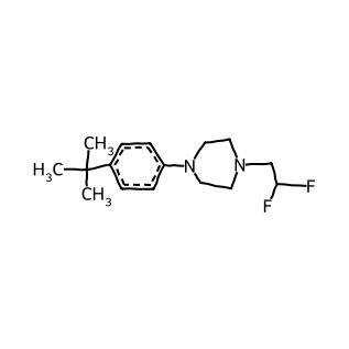 CC(C)(C)c1ccc(N2CCN(CC(F)F)CC2)cc1